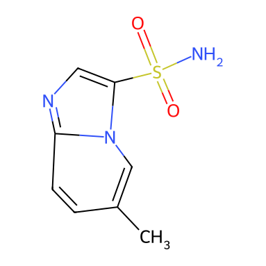 Cc1ccc2ncc(S(N)(=O)=O)n2c1